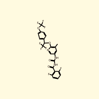 Cc1cc(NC(=O)NC(=O)c2c(F)cccc2F)cnc1OC(c1ccc(OC(F)(F)F)cc1)C(F)(F)F